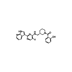 O=C(c1ccccc1O)N1CCC[C@H](CNc2nc(-c3c[nH]c4ncccc34)ncc2F)C1